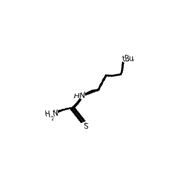 CC(C)(C)CCCNC(N)=S